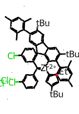 CCC1C=C(C(C)(C)C)C=[C]1[Zr+2](=[C](c1cccc(Cl)c1)c1cccc(Cl)c1)[c]1c2c(cc(C(C)(C)C)c1-c1c(C)cc(C)cc1C)-c1cc(C(C)(C)C)c(-c3c(C)cc(C)cc3C)cc1C2.[Cl-].[Cl-]